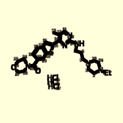 CCN1CCN(CCCNc2ncc(C)c(-c3cc4ccc(C(=O)N5CCOCC5)cc4s3)n2)CC1.Cl.Cl.Cl